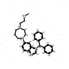 COCCN1CCCN(c2ccc3ncn(C(c4ccccc4)c4ccccc4)c3c2)CC1